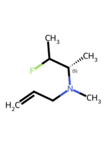 C=CCN(C)[C@@H](C)C(C)F